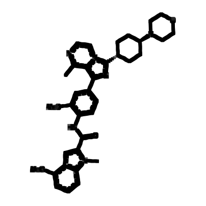 COc1cc(-c2nc([C@H]3CC[C@H](N4CCOCC4)CC3)n3ccnc(C)c23)ccc1NC(=O)c1cc2c(OC)cccc2n1C